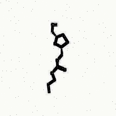 CCCOC(=O)OC[C@H]1CC[C@@H](CO)O1